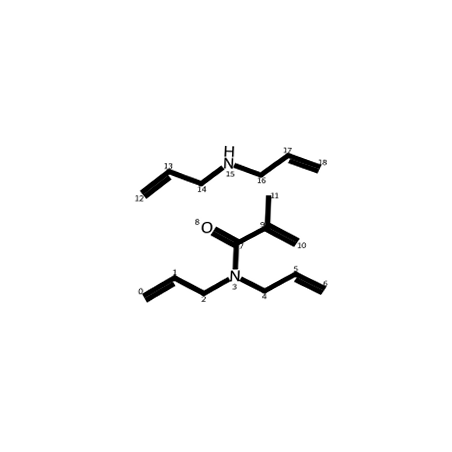 C=CCN(CC=C)C(=O)C(=C)C.C=CCNCC=C